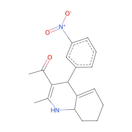 CC(=O)C1=C(C)NC2CCCC=C2C1c1cccc([N+](=O)[O-])c1